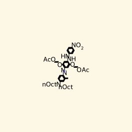 CCCCCCCCN(CCCCCCCC)c1ccc(/N=N/c2cc(OCCOC(C)=O)c(NNc3ccc([N+](=O)[O-])cc3)cc2OCCOC(C)=O)c(C)c1